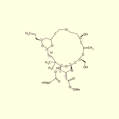 C=CC[C@H]1CC2CCOCC[C@@H](O)CC(=C)O[C@@H](CO)C[C@@H]3C/C(=C\C(=O)OOC)[C@H](OC(=O)CCCCCCC)[C@@](O)(O3)C(C)(C)/C=C/[C@H](O2)O1